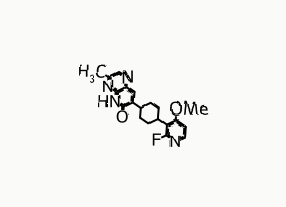 COc1ccnc(F)c1C1CCC(c2cc3ncc(C)nc3[nH]c2=O)CC1